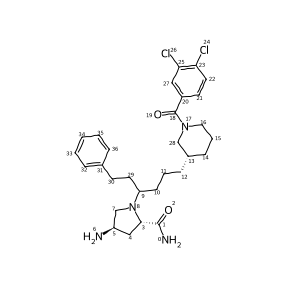 NC(=O)[C@@H]1C[C@@H](N)CN1C(CCC[C@H]1CCCN(C(=O)c2ccc(Cl)c(Cl)c2)C1)CCc1ccccc1